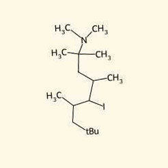 CC(CC(C)(C)C)C(I)C(C)CC(C)(C)N(C)C